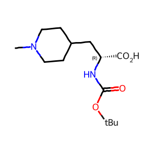 CN1CCC(C[C@@H](NC(=O)OC(C)(C)C)C(=O)O)CC1